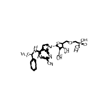 C[C@@H](Nc1nc(C#N)nc2c1ccn2[C@@H]1OC(COCP(=O)(O)O)[C@@H](O)[C@H]1O)c1ccccc1